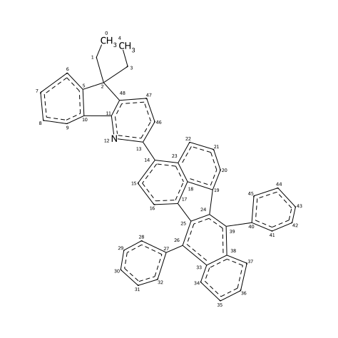 CCC1(CC)c2ccccc2-c2nc(-c3ccc4c5c(cccc35)-c3c-4c(-c4ccccc4)c4ccccc4c3-c3ccccc3)ccc21